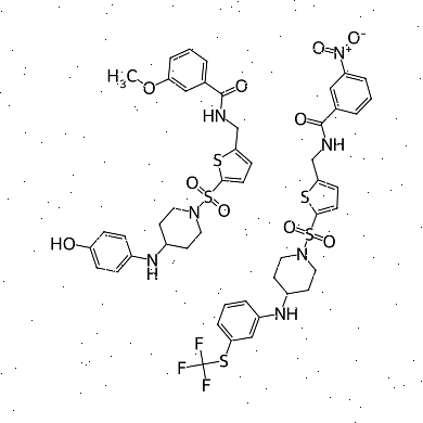 COc1cccc(C(=O)NCc2ccc(S(=O)(=O)N3CCC(Nc4ccc(O)cc4)CC3)s2)c1.O=C(NCc1ccc(S(=O)(=O)N2CCC(Nc3cccc(SC(F)(F)F)c3)CC2)s1)c1cccc([N+](=O)[O-])c1